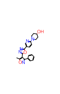 Cc1onc(-c2ccccc2)c1-c1nnc(-c2ccc(N3CCC(O)CC3)nc2)o1